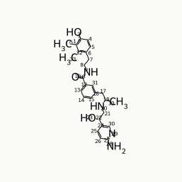 Cc1c(O)ccc(CCNC(=O)c2cccc(C[C@@H](C)NC[C@@H](O)c3ccc(N)nc3)c2)c1C